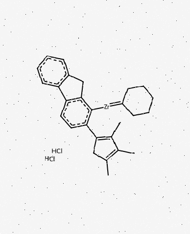 CC1=C(C)C(C)=C(c2ccc3c([c]2[Zr]=[C]2CCCCC2)Cc2ccccc2-3)C1.Cl.Cl